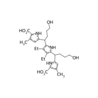 CCc1c(C(CCCO)c2cc(C)c(C(=O)O)[nH]2)[nH]c(C(CCCO)c2cc(C)c(C(=O)O)[nH]2)c1CC